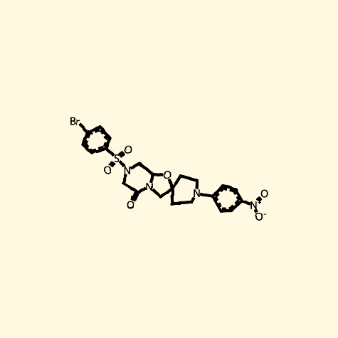 O=C1CN(S(=O)(=O)c2ccc(Br)cc2)CC2OC3(CCN(c4ccc([N+](=O)[O-])cc4)CC3)CN12